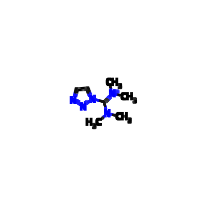 CN(C)C(n1ccnn1)=[N+](C)C